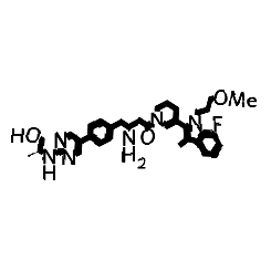 COCCCn1c(C2CCCN(C(=O)C[C@H](N)Cc3ccc(-c4cnc(N[C@H](C)CO)nc4)cc3)C2)c(C)c2cccc(F)c21